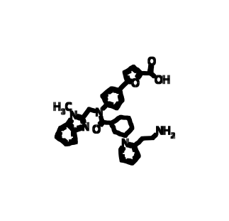 Cn1c(CN(C(=O)C2CCCCC2)c2ccc(-c3ccc(C(=O)O)o3)cc2)nc2ccccc21.NCCc1ccccn1